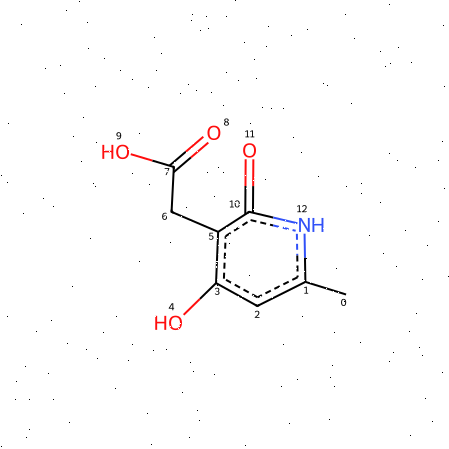 Cc1cc(O)c(CC(=O)O)c(=O)[nH]1